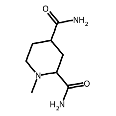 CN1CC[C](C(N)=O)CC1C(N)=O